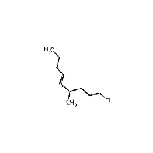 CCCC=CC(C)CCCCl